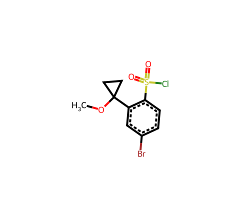 COC1(c2cc(Br)ccc2S(=O)(=O)Cl)CC1